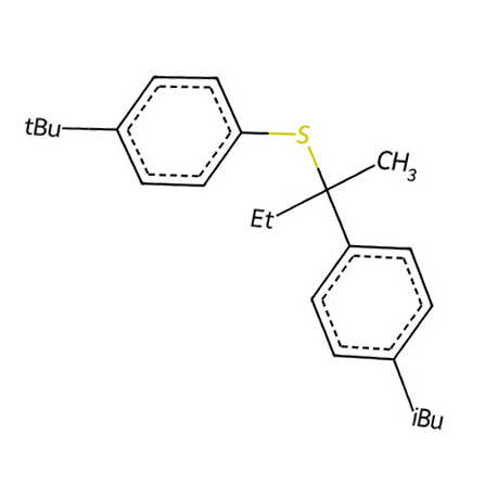 CCC(C)c1ccc(C(C)(CC)Sc2ccc(C(C)(C)C)cc2)cc1